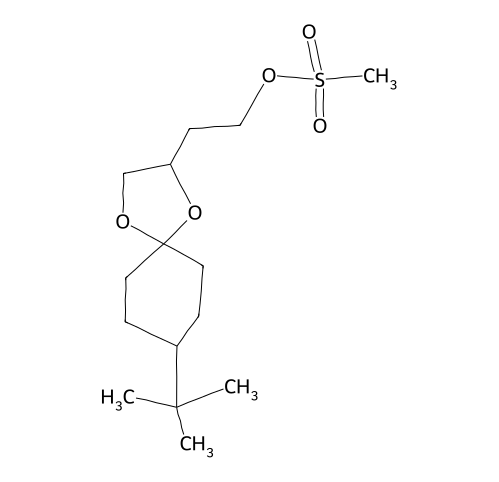 CC(C)(C)C1CCC2(CC1)OCC(CCOS(C)(=O)=O)O2